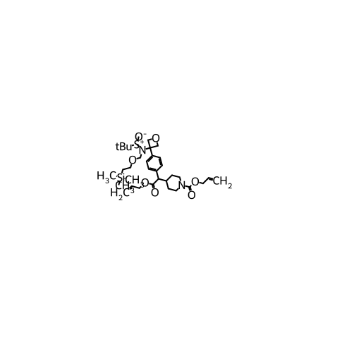 C=CCOC(=O)C(c1ccc(C2(N(COCC[Si](C)(C)C)[S+]([O-])C(C)(C)C)COC2)cc1)C1CCN(C(=O)OCC=C)CC1